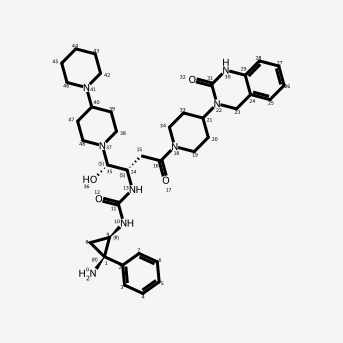 N[C@@]1(c2ccccc2)C[C@H]1NC(=O)N[C@@H](CC(=O)N1CCC(N2Cc3ccccc3NC2=O)CC1)[C@H](O)N1CCC(N2CCCCC2)CC1